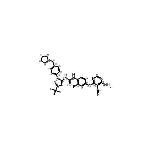 CC(C)(C)c1cc(NC(=O)Nc2ccc(Oc3ncnc(N)c3C#N)cc2F)n(-c2ccc(CN3CCCC3)cc2)n1